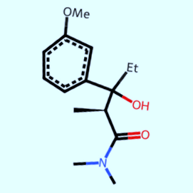 CCC(O)(c1cccc(OC)c1)[C@H](C)C(=O)N(C)C